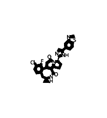 O=C1NC2(CC2)Cc2ccc(Cl)c(F)c2-c2cc(=O)n3c(c21)CC[C@@H]3c1ncc(-c2ccc3scnc3c2)[nH]1